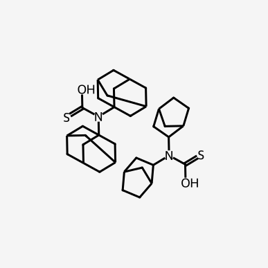 OC(=S)N(C12CC3CC(CC(C3)C1)C2)C12CC3CC(CC(C3)C1)C2.OC(=S)N(C1CC2CCC1C2)C1CC2CCC1C2